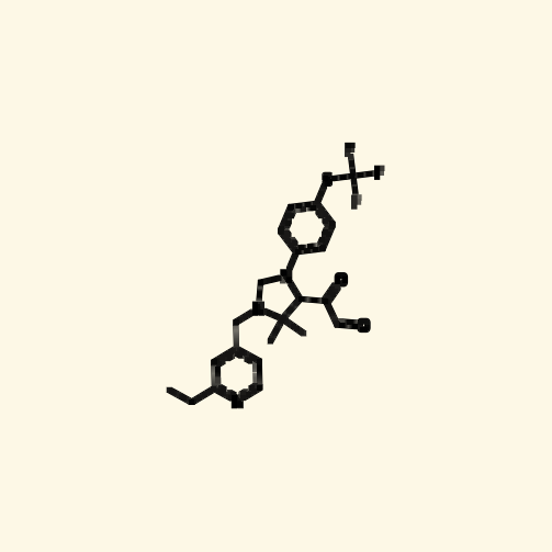 CCc1cc(CN2CN(c3ccc(SC(F)(F)F)cc3)C(C(=O)C=O)C2(C)C)ccn1